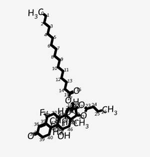 CCCCCCCCCCCCCCCC(=O)OCC(=O)[C@@]12OC(CCC)O[C@@H]1C[C@H]1[C@@H]3C[C@H](F)C4=CC(=O)CC[C@]4(C)[C@H]3[C@@H](O)C[C@@]12C